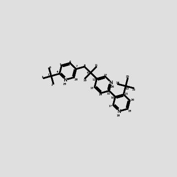 CC(C)(C)c1ccc(CC(C)(C)c2ccc(-c3cnccc3C(C)(C)C)nc2)cn1